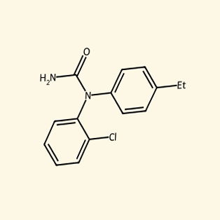 [CH2]Cc1ccc(N(C(N)=O)c2ccccc2Cl)cc1